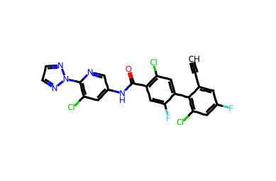 C#Cc1cc(F)cc(Cl)c1-c1cc(Cl)c(C(=O)Nc2cnc(-n3nccn3)c(Cl)c2)cc1F